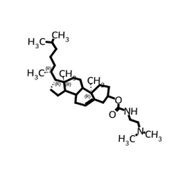 CC(C)CCC[C@@H](C)[C@H]1CCC2C3CC=C4CC(OC(=O)NCCN(C)C)CC[C@]4(C)C3CC[C@@]21C